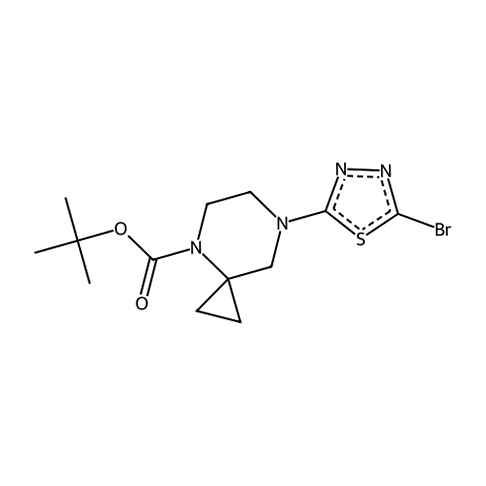 CC(C)(C)OC(=O)N1CCN(c2nnc(Br)s2)CC12CC2